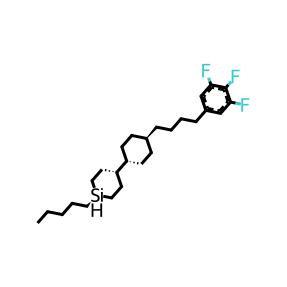 CCCCC[Si@H]1CC[C@H]([C@H]2CC[C@H](CCCCc3cc(F)c(F)c(F)c3)CC2)CC1